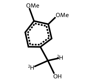 [2H]C([2H])(O)c1ccc(OC)c(OC)c1